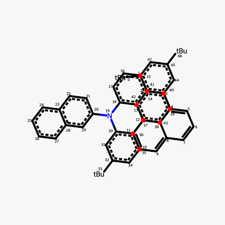 CC(C)(C)c1cc(C2=CC=CC3=CC=CC(c4ccccc4N(c4ccc5ccccc5c4)c4cc(C(C)(C)C)ccc4-c4ccccc4)C32)cc(C(C)(C)C)c1